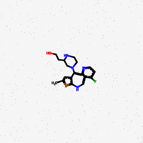 Cc1cc2c(s1)NC=c1c(F)ccnc1=C2N1CCNC(CCO)C1